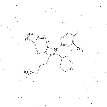 Cc1cc(-n2c(C3CCOCC3)c(CCCC(=O)O)c3cc4[nH]ncc4cc32)ccc1F